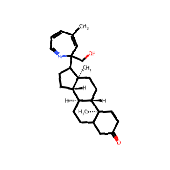 CC1=CC(CO)(C2CC[C@H]3[C@@H]4CCC5CC(=O)CC[C@]5(C)[C@H]4CC[C@]23C)N=CC=C1